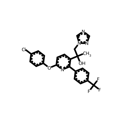 CC(O)(Cn1cncn1)c1ccc(Oc2ccc(Cl)cc2)nc1-c1ccc(C(F)(F)F)cc1